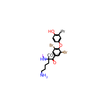 CC(C)c1cc(Oc2c(Br)cc(C(=O)C(CCCCN)(NI)C(=O)O)cc2Br)ccc1O